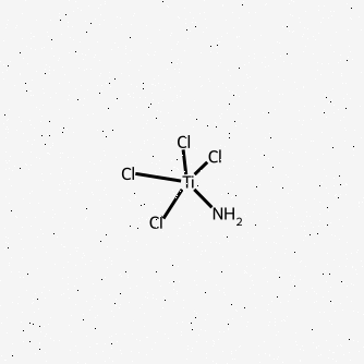 [NH2][Ti]([Cl])([Cl])([Cl])[Cl]